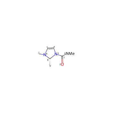 CNC(=O)N1C=CN(C)[C@H]1C